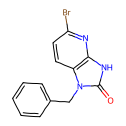 O=c1[nH]c2nc(Br)ccc2n1Cc1ccccc1